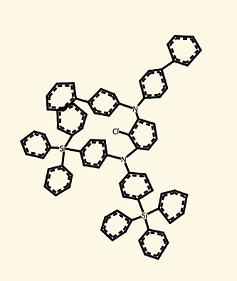 Clc1c(N(c2ccc(-c3ccccc3)cc2)c2ccc(-c3ccccc3)cc2)cccc1N(c1ccc([Si](c2ccccc2)(c2ccccc2)c2ccccc2)cc1)c1ccc([Si](c2ccccc2)(c2ccccc2)c2ccccc2)cc1